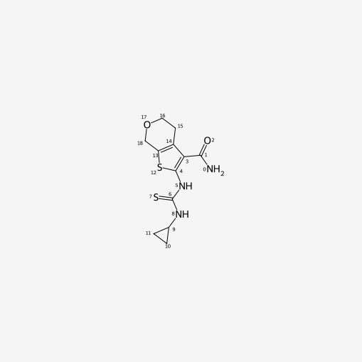 NC(=O)c1c(NC(=S)NC2CC2)sc2c1CCOC2